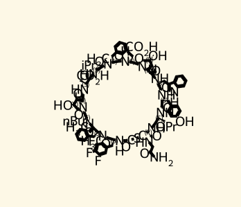 CCCC[C@H]1C(=O)N2C[C@H](O)C[C@@H]2C(=O)N[C@@H](CC(=O)O)C(=O)N[C@@H](C(C)C)C(=O)N(C)[C@@H](Cc2ccccc2)C(=O)N[C@@H](CCC(=O)O)C(=O)N2C[C@H](O)C[C@H]2C(=O)N[C@@H](Cc2c[nH]c3ccccc23)C(=O)N[C@@H](Cc2ccc(O)cc2)C(=O)N[C@@H](CC(C)C)C(=O)N[C@H](C(=O)NCC(N)=O)CSCC(=O)N[C@@H](Cc2cc(F)c(F)c(F)c2)C(=O)N(C)[C@@H](Cc2ccccc2)C(=O)N1C